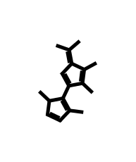 CC(C)=C1[C]=C(C2=C(C)C=CC2C)C(C)=C1C